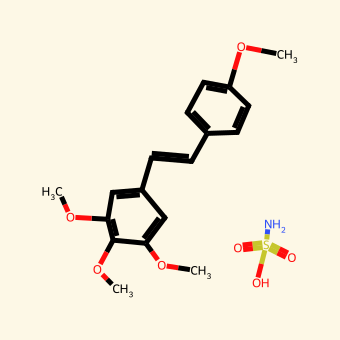 COc1ccc(C=Cc2cc(OC)c(OC)c(OC)c2)cc1.NS(=O)(=O)O